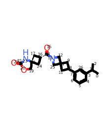 CC(C)c1cccc(C2CC3(C2)CN(C(=O)[C@H]2C[C@]4(COC(=O)N4)C2)C3)c1